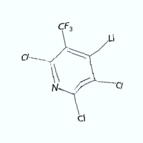 [Li][c]1c(Cl)c(Cl)nc(Cl)c1C(F)(F)F